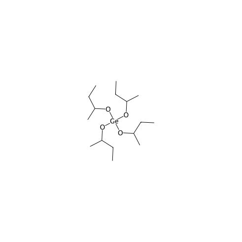 CCC(C)[O][Ge]([O]C(C)CC)([O]C(C)CC)[O]C(C)CC